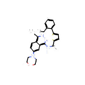 CNCc1ccccc1-c1ccc([C@@H](C)Nc2nnc(C)c3ccc(N4CCOCC4)cc23)s1